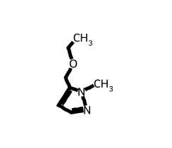 CCOCc1ccnn1C